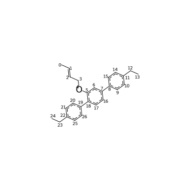 C/C=C/COc1cc(-c2ccc(CC)cc2)ccc1-c1ccc(CC)cc1